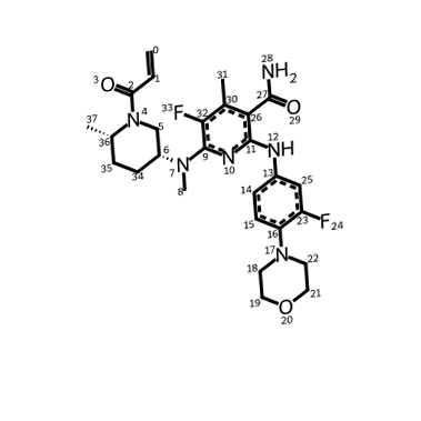 C=CC(=O)N1C[C@H](N(C)c2nc(Nc3ccc(N4CCOCC4)c(F)c3)c(C(N)=O)c(C)c2F)CC[C@@H]1C